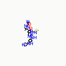 CSN(C)CCn1c(=O)c(-c2nc(-c3cnco3)ncc2C)cc2cnc(Nc3ccc(NC4CCN(C)CC4)cc3)nc21